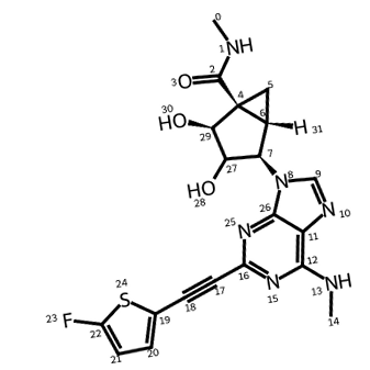 CNC(=O)[C@@]12C[C@@H]1[C@@H](n1cnc3c(NC)nc(C#Cc4ccc(F)s4)nc31)C(O)[C@H]2O